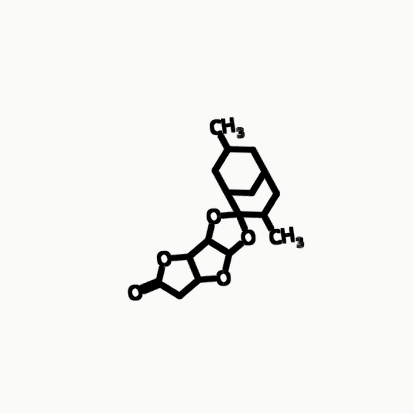 CC1CC2CC(C)C3(OC4OC5CC(=O)OC5C4O3)C(C1)C2